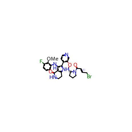 COc1c(F)cccc1Nc1c(-c2ccncc2OC[C@H]2CCCN2C(=O)/C=C/CBr)[nH]c2c1C(=O)NCC2